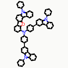 c1ccc(-n2c3ccccc3c3cc(-c4ccc(N(c5ccc(-c6ccc7c(c6)c6ccccc6n7-c6ccccc6)cc5)c5cccc6c5oc5c6ccc6c5c5ccccc5n6-c5ccccc5)cc4)ccc32)cc1